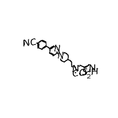 N#Cc1ccc(-c2ccc(N3CCC(CCN(Cc4cncs4)C(=O)O)CC3)nc2)cc1